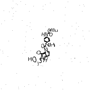 CC(C)(C)OC(=O)Nc1ccc(NC(=O)N2CC[C@@H]3C2C(=O)N3S(=O)(=O)O)cc1